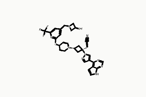 N#CC[C@]1(n2cc(-c3ncnc4[nH]ccc34)cn2)C[C@@H](N2CCC(Oc3cc(CN4CC(O)C4)cc(C(F)(F)F)n3)CC2)C1